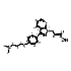 CN(C)CCCOc1ccc(-c2nn(CCC(=O)O)c3ncccc23)cc1